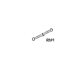 O=[Si]=O.[RbH]